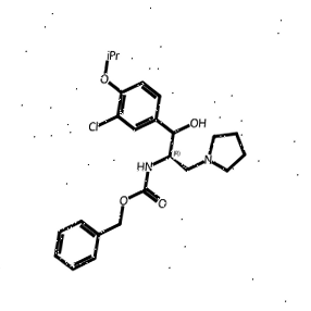 CC(C)Oc1ccc(C(O)[C@@H](CN2CCCC2)NC(=O)OCc2ccccc2)cc1Cl